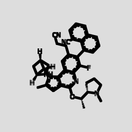 Cc1cc2c(O[C@@H](C)[C@@H]3CCCN3C)nc3c(F)c(-c4cccc5cccc(C#N)c45)c(CCC#N)cc3c2n1[C@H]1[C@H]2CN[C@@H]1C2